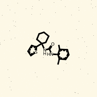 Cc1cccc(C)c1NC(=O)NC1(c2cccs2)CCCCC1